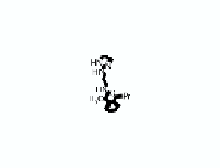 CC(C)Cc1ccccc1C(C)C(=O)NCCCN[C@H]1N=CCCN1